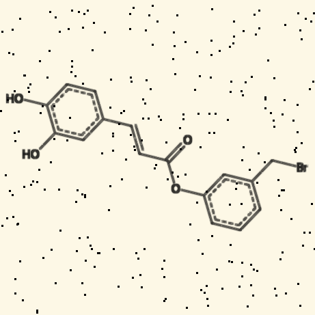 O=C(C=Cc1ccc(O)c(O)c1)Oc1cccc(CBr)c1